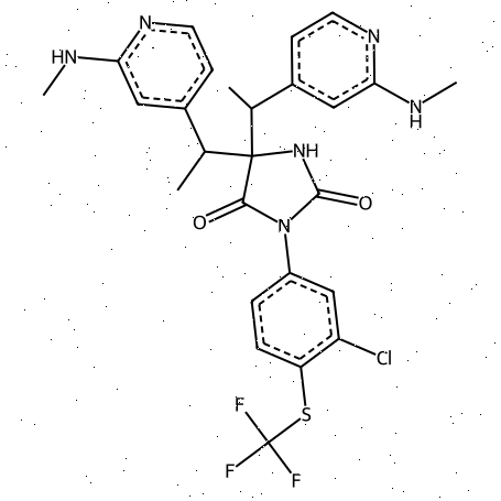 CNc1cc(C(C)C2(C(C)c3ccnc(NC)c3)NC(=O)N(c3ccc(SC(F)(F)F)c(Cl)c3)C2=O)ccn1